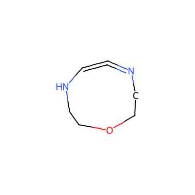 C1=CNCCOCCN=1